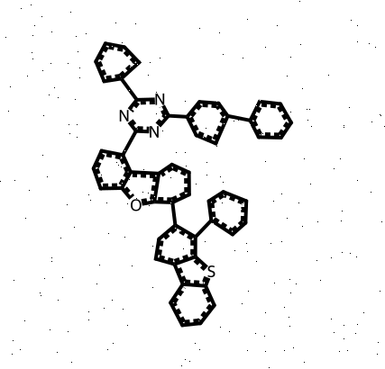 c1ccc(-c2ccc(-c3nc(-c4ccccc4)nc(-c4cccc5oc6c(-c7ccc8c(sc9ccccc98)c7-c7ccccc7)cccc6c45)n3)cc2)cc1